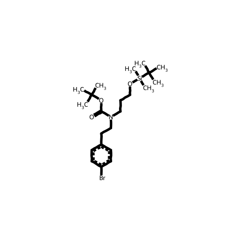 CC(C)(C)OC(=O)N(CCCO[Si](C)(C)C(C)(C)C)CCc1ccc(Br)cc1